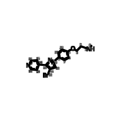 CNCCOc1ccc(-n2cc(Br)c(-c3ccncc3)n2)cc1